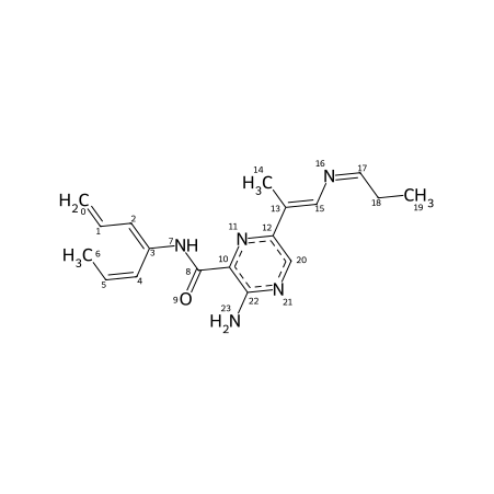 C=C/C=C(\C=C/C)NC(=O)c1nc(/C(C)=C/N=C\CC)cnc1N